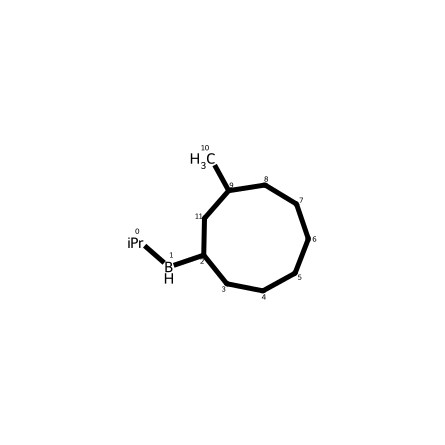 CC(C)BC1CCCCCCC(C)C1